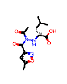 CC(=O)N(N[C@H](CC(C)C)C(=O)O)C(=O)c1cc(C)on1